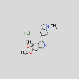 COc1cc2cncc(Cc3ccc4c(c3)CCN4C)c2cc1OC.Cl